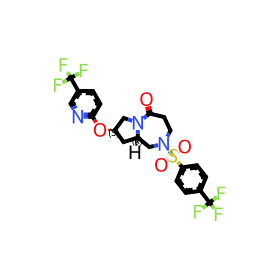 O=C1CCN(S(=O)(=O)c2ccc(C(F)(F)F)cc2)C[C@H]2C[C@H](Oc3ccc(C(F)(F)F)cn3)CN12